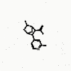 C=C(C)C1C2CC(CC2C)C1c1ccnc(C)c1